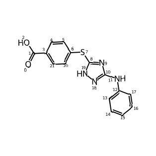 O=C(O)c1ccc(Sc2nc(Nc3ccccc3)n[nH]2)cc1